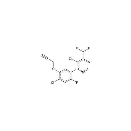 C#CCOc1cc(-c2ncnc(C(F)F)c2Cl)c(F)cc1Cl